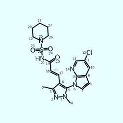 Cc1nn(C)c(-n2ccc3cc(Cl)cnc32)c1/C=C/C(=O)NS(=O)(=O)N1CCCCC1